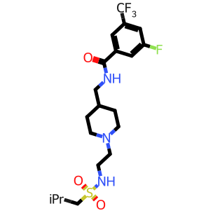 CC(C)CS(=O)(=O)NCCN1CCC(CNC(=O)c2cc(F)cc(C(F)(F)F)c2)CC1